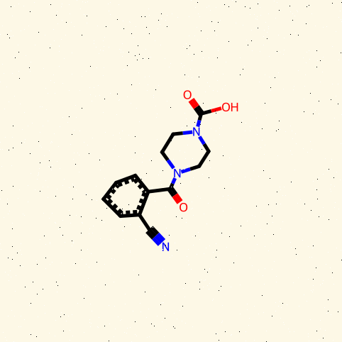 N#Cc1ccccc1C(=O)N1CCN(C(=O)O)CC1